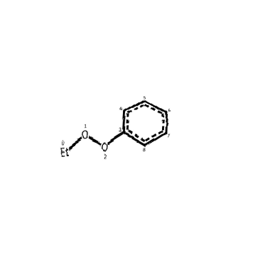 CCOOc1ccccc1